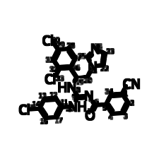 N#Cc1cccc(C(=O)/N=C(\Nc2ccc(Cl)cc2)N[C@H](Cn2ccnc2)c2ccc(Cl)cc2Cl)c1